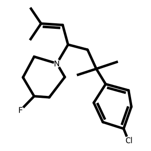 CC(C)=CC(CC(C)(C)c1ccc(Cl)cc1)N1CCC(F)CC1